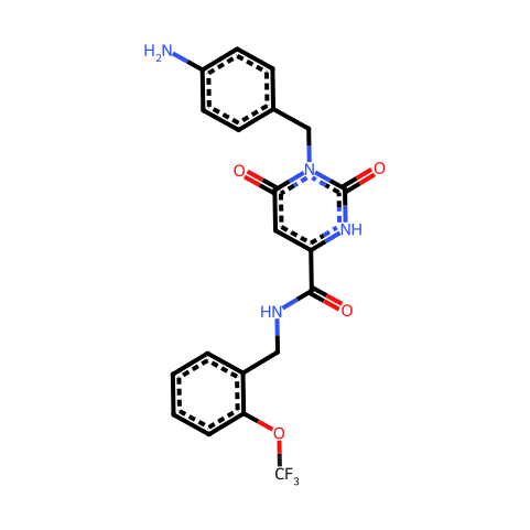 Nc1ccc(Cn2c(=O)cc(C(=O)NCc3ccccc3OC(F)(F)F)[nH]c2=O)cc1